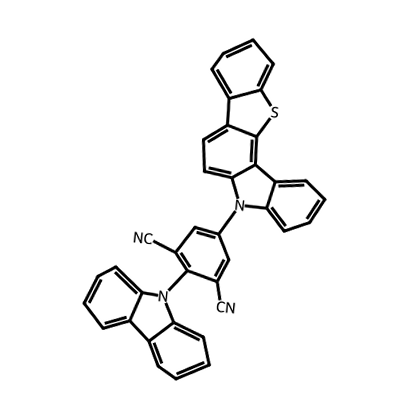 N#Cc1cc(-n2c3ccccc3c3c4sc5ccccc5c4ccc32)cc(C#N)c1-n1c2ccccc2c2ccccc21